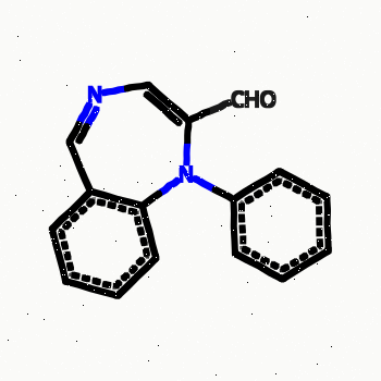 O=CC1=CN=Cc2ccccc2N1c1ccccc1